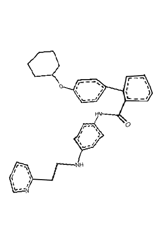 O=C(Nc1ccc(NCCc2ccccn2)cc1)c1ccccc1-c1ccc(OC2CCCCC2)cc1